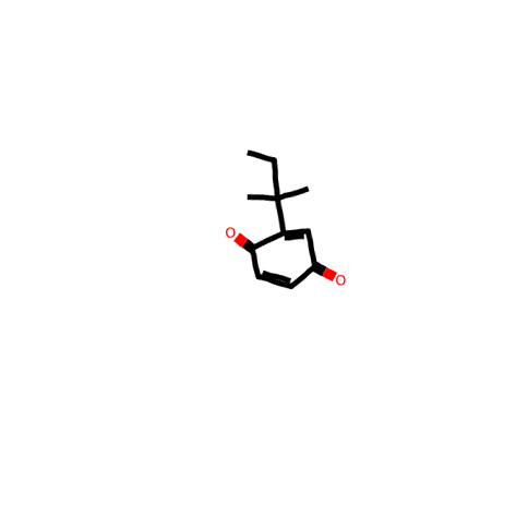 CCC(C)(C)C1=CC(=O)C=CC1=O